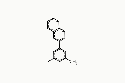 Cc1cc(I)cc(-c2ccc3ccccc3c2)c1